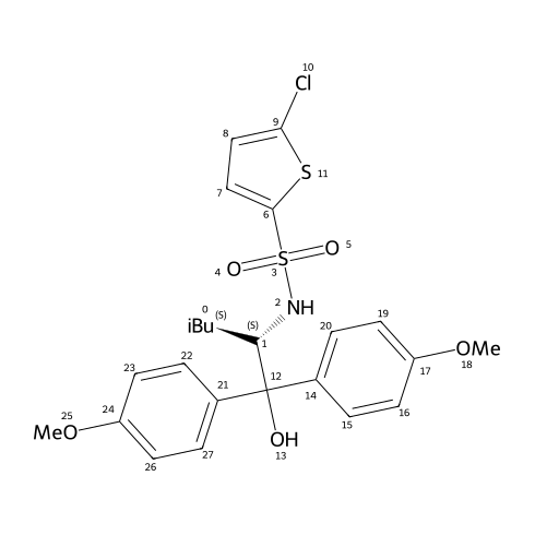 CC[C@H](C)[C@H](NS(=O)(=O)c1ccc(Cl)s1)C(O)(c1ccc(OC)cc1)c1ccc(OC)cc1